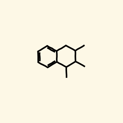 CC1Cc2ccccc2C(C)C1C